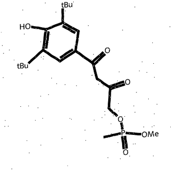 COP(C)(=O)OCC(=O)CC(=O)c1cc(C(C)(C)C)c(O)c(C(C)(C)C)c1